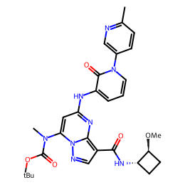 CO[C@H]1CC[C@@H]1NC(=O)c1cnn2c(N(C)C(=O)OC(C)(C)C)cc(Nc3cccn(-c4ccc(C)nc4)c3=O)nc12